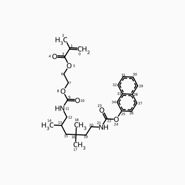 C=C(C)C(=O)OCCOC(=O)NCC(C)CC(C)(C)CCNC(=O)Oc1ccc2ccccc2c1